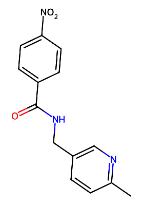 Cc1ccc(CNC(=O)c2ccc([N+](=O)[O-])cc2)cn1